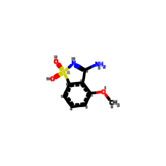 COc1cccc2c1C(N)=NS2(=O)=O